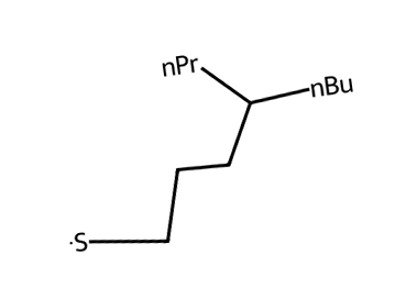 CCCCC(CCC)CCC[S]